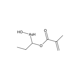 C=C(C)C(=O)OC(CC)[AsH]O